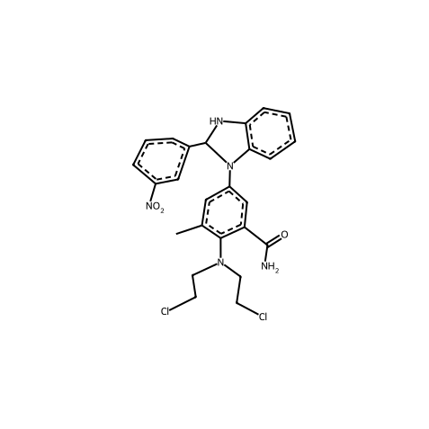 Cc1cc(N2c3ccccc3NC2c2cccc([N+](=O)[O-])c2)cc(C(N)=O)c1N(CCCl)CCCl